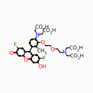 Cc1c(-c2c3cc(F)c(=O)cc-3oc3cc(O)c(F)cc23)ccc(N(CC(=O)O)CC(=O)O)c1OCCOCCN(CC(=O)O)CC(=O)O